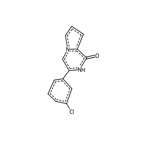 O=c1[nH]c(-c2cccc(Cl)c2)cn2cccc12